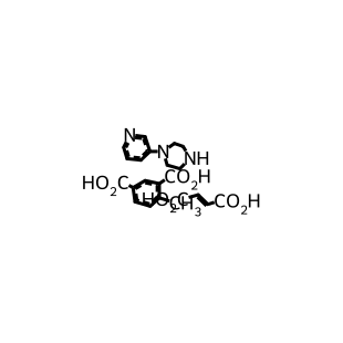 Cc1ccc(C(=O)O)cc1C(=O)O.O=C(O)/C=C/C(=O)O.c1cncc(N2CCNCC2)c1